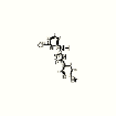 Clc1cccc(Nc2nc(-c3ccc(Br)cc3)cs2)c1